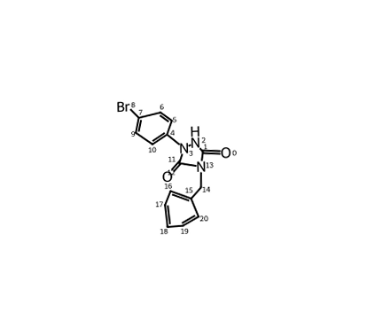 O=c1[nH]n(-c2ccc(Br)cc2)c(=O)n1Cc1ccccc1